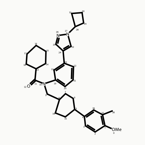 COc1ccc(C2CCC(CN(C(=O)C3CCCCC3)c3cccc(-c4cnn(C5CCC5)c4)c3)CC2)cc1C